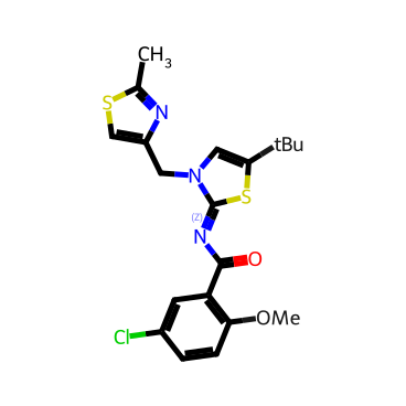 COc1ccc(Cl)cc1C(=O)/N=c1\sc(C(C)(C)C)cn1Cc1csc(C)n1